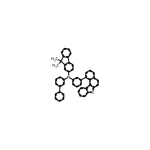 CC1(C)c2ccccc2-c2ccc(N(c3cccc(-c4ccccc4)c3)c3cccc(-c4cccc5ccc6sc7ccccc7c6c45)c3)cc21